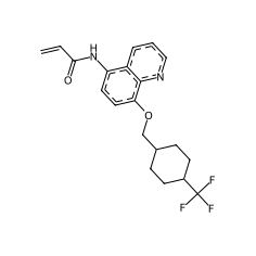 C=CC(=O)Nc1ccc(OCC2CCC(C(F)(F)F)CC2)c2ncccc12